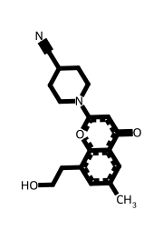 Cc1cc(CCO)c2oc(N3CCC(C#N)CC3)cc(=O)c2c1